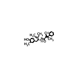 CCN(CC)[C@H](CNC(=O)C1=C(C)[C@]1(C)c1ccccc1)Cc1ccc(O)c(C)c1